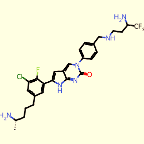 C[C@H](N)CCCc1cc(Cl)c(F)c(-c2cc3cn(-c4ccc(CNCCC(N)C(F)(F)F)cc4)c(=O)nc3[nH]2)c1